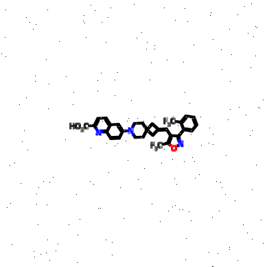 O=C(O)c1ccc2cc(N3CCC4(CC3)CC(=Cc3c(-c5ccccc5C(F)(F)F)noc3C(F)(F)F)C4)ccc2n1